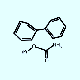 CC(C)OC(N)=O.c1ccc(-c2ccccc2)cc1